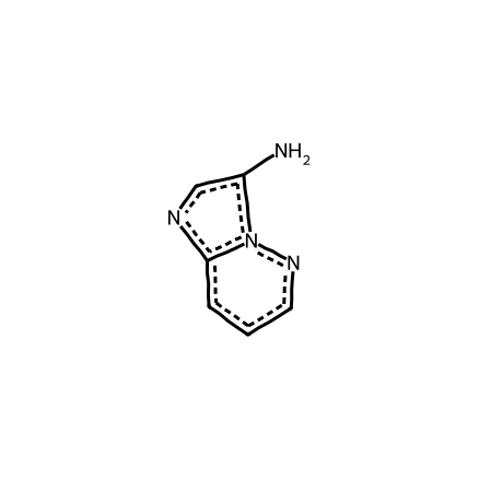 Nc1cnc2cccnn12